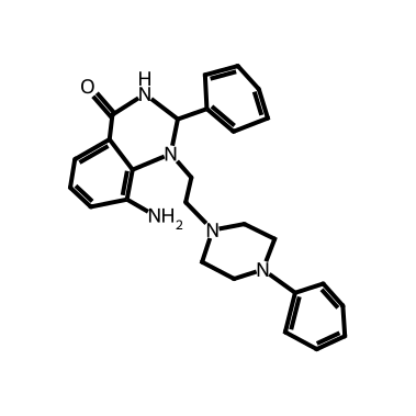 Nc1cccc2c1N(CCN1CCN(c3ccccc3)CC1)C(c1ccccc1)NC2=O